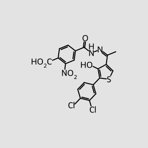 CC(=NNC(=O)c1ccc(C(=O)O)c([N+](=O)[O-])c1)c1csc(-c2ccc(Cl)c(Cl)c2)c1O